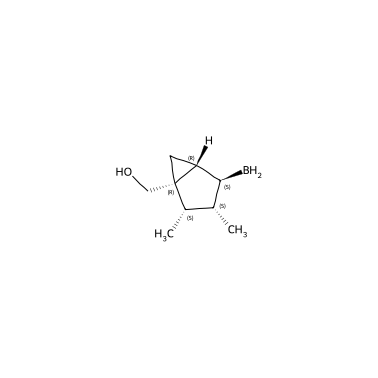 B[C@H]1[C@H](C)[C@H](C)[C@@]2(CO)C[C@H]12